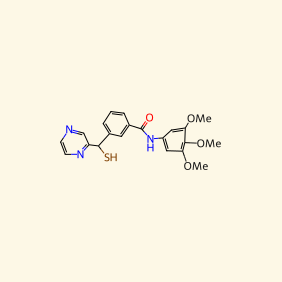 COc1cc(NC(=O)c2cccc(C(S)c3cnccn3)c2)cc(OC)c1OC